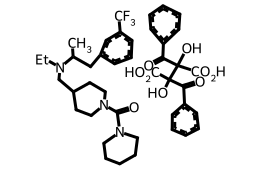 CCN(CC1CCN(C(=O)N2CCCCC2)CC1)C(C)Cc1cccc(C(F)(F)F)c1.O=C(O)C(O)(C(=O)c1ccccc1)C(O)(C(=O)O)C(=O)c1ccccc1